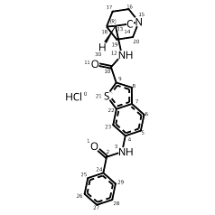 Cl.O=C(Nc1ccc2cc(C(=O)N[C@H]3CN4CCC3CC4)sc2c1)c1ccccc1